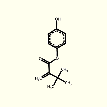 C=C(C(=O)Oc1ccc(O)cc1)C(C)(C)C